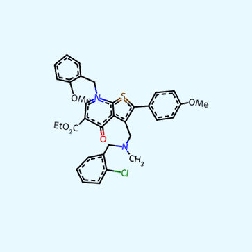 CCOC(=O)c1cn(Cc2ccccc2OC)c2sc(-c3ccc(OC)cc3)c(CN(C)Cc3ccccc3Cl)c2c1=O